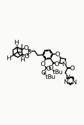 CC(C)(C)OC(=O)Oc1c(CCB2O[C@@H]3C[C@@H]4C[C@@H](C4(C)C)[C@]3(C)O2)ccc(OC2CN(C(=O)Cn3cncn3)C2)c1C(=O)OC(C)(C)C